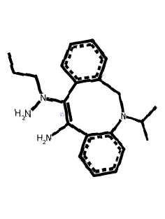 CCCN(N)/C1=C(\N)c2ccccc2N(C(C)C)Cc2ccccc21